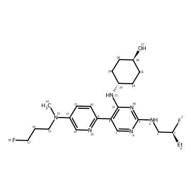 CC[C@H](F)CNc1ncc(-c2ccc(N(C)CCCF)cn2)c(N[C@H]2CC[C@H](O)CC2)n1